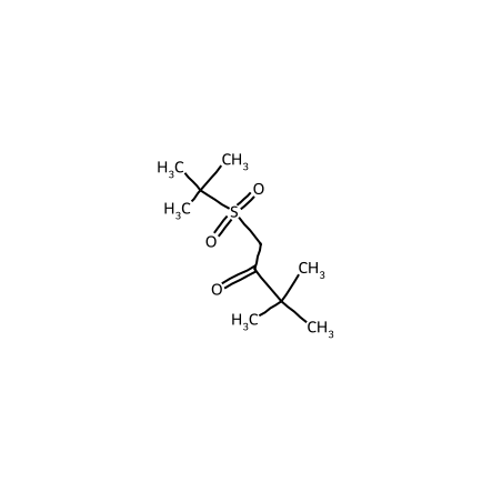 CC(C)(C)C(=O)CS(=O)(=O)C(C)(C)C